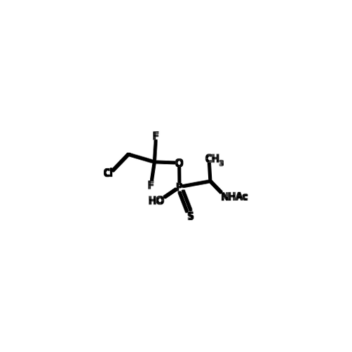 CC(=O)NC(C)P(O)(=S)OC(F)(F)CCl